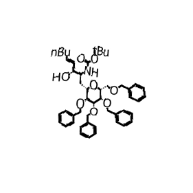 CCCCC=C[C@@H](O)[C@H](C[C@@H]1O[C@H](COCc2ccccc2)[C@H](OCc2ccccc2)[C@H](OCc2ccccc2)[C@H]1OCc1ccccc1)NC(=O)OC(C)(C)C